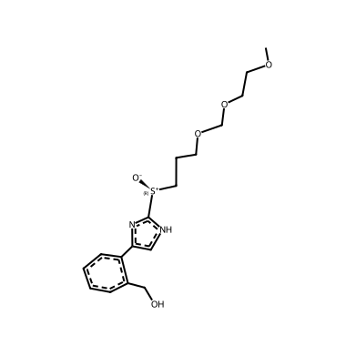 COCCOCOCCC[S@+]([O-])c1nc(-c2ccccc2CO)c[nH]1